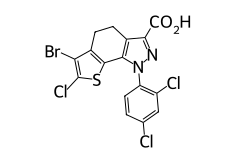 O=C(O)c1nn(-c2ccc(Cl)cc2Cl)c2c1CCc1c-2sc(Cl)c1Br